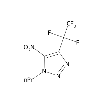 CCCn1nnc(C(F)(F)C(F)(F)F)c1[N+](=O)[O-]